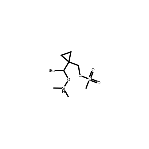 C[SiH](C)OC(C(C)(C)C)C1(COS(C)(=O)=O)CC1